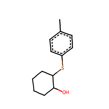 Cc1ccc(SC2CCCCC2O)cc1